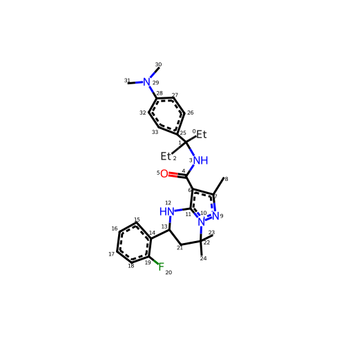 CCC(CC)(NC(=O)c1c(C)nn2c1NC(c1ccccc1F)CC2(C)C)c1ccc(N(C)C)cc1